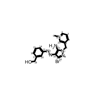 C[n+]1cccc(Cn2ncc(N=Nc3cccc(CO)c3)c2N)c1.[Br-]